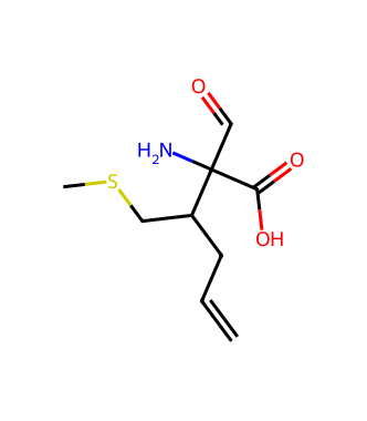 C=CCC(CSC)C(N)(C=O)C(=O)O